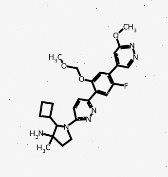 COCOc1cc(-c2cnnc(OC)c2)c(F)cc1-c1ccc(N2CCC(C)(N)C2C2CCC2)nn1